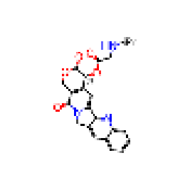 CC(C)NCC(=O)O[C@@H]1C(=O)OCc2c1cc1n(c2=O)Cc2cc3ccccc3nc2-1